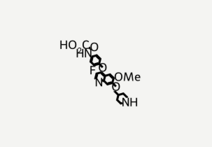 COc1cc2c(Oc3ccc(NC(=O)C(=O)O)cc3F)ccnc2cc1OCC1CCNCC1